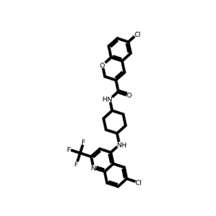 O=C(NC1CCC(Nc2cc(C(F)(F)F)nc3ccc(Cl)cc23)CC1)C1=Cc2cc(Cl)ccc2OC1